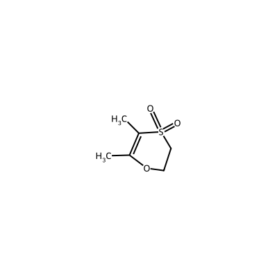 CC1=C(C)S(=O)(=O)CCO1